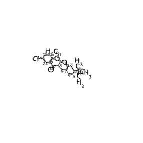 CCOC(=O)C(Cc1ccc(C(C)(C)C)cc1)C(=O)c1cccc(Cl)c1